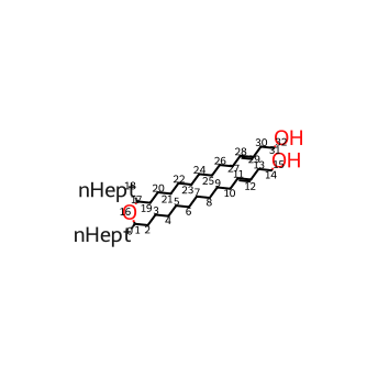 CCCCCCCC(CCCCCCCCCC=CCCO)OC(CCCCCCC)CCCCCCCCCC=CCCO